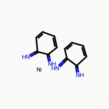 N=C1C=CC=CC1=N.N=C1C=CC=CC1=N.[Ni]